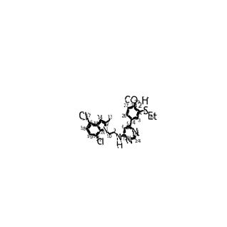 CCSc1cc(-c2cc(NCCn3c(C)cc4c(Cl)ccc(Cl)c43)ncn2)ccc1C(=O)O